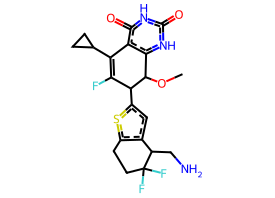 COC1c2[nH]c(=O)[nH]c(=O)c2C(C2CC2)=C(F)C1c1cc2c(s1)CCC(F)(F)C2CN